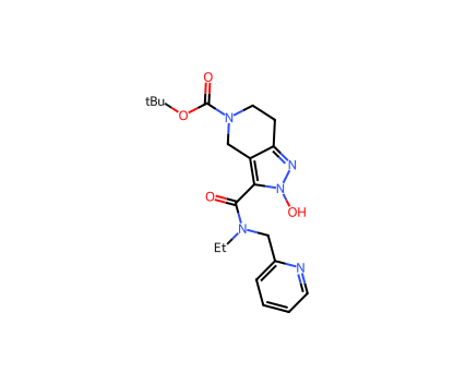 CCN(Cc1ccccn1)C(=O)c1c2c(nn1O)CCN(C(=O)OC(C)(C)C)C2